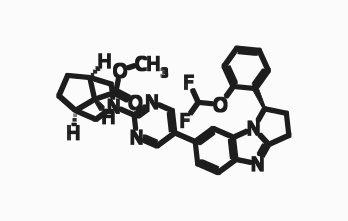 COC(=O)[C@@H]1[C@@H]2CC[C@H]1CN(c1ncc(-c3ccc4nc5n(c4c3)[C@@H](c3ccccc3OC(F)F)CC5)cn1)C2